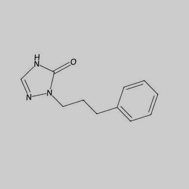 O=c1[nH]cnn1CCCc1ccccc1